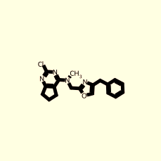 CN(Cc1nc(Cc2ccccc2)co1)c1nc(Cl)nc2c1CCC2